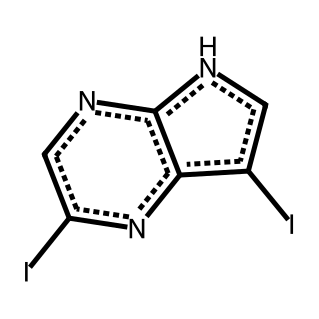 Ic1cnc2[nH]cc(I)c2n1